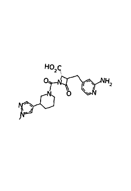 Cn1cc(C2CCCN(C(=O)N3C(=O)C(Cc4ccnc(N)c4)[C@H]3C(=O)O)C2)cn1